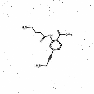 COC(=O)c1ccc(C#CCN)cc1NC(=O)CCCN